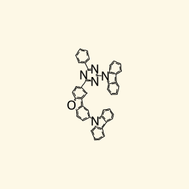 c1ccc(-c2nc(-c3ccc4oc5ccc(-n6c7ccccc7c7ccccc76)cc5c4c3)nc(-n3c4ccccc4c4ccccc43)n2)cc1